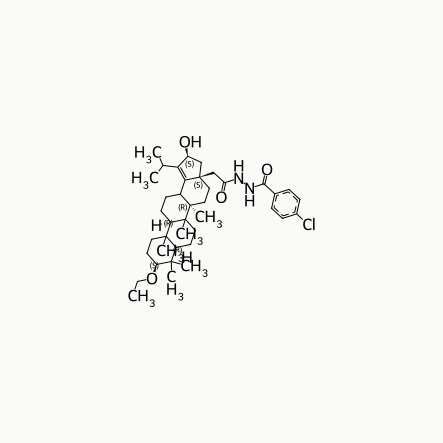 CCO[C@H]1CCC2(C)[C@H]3CCC4C5=C(C(C)C)[C@@H](O)C[C@]5(CC(=O)NNC(=O)c5ccc(Cl)cc5)CC[C@@]4(C)C3(C)CC[C@H]2C1(C)C